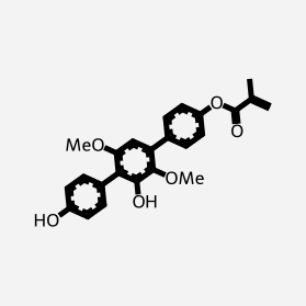 C=C(C)C(=O)Oc1ccc(-c2cc(OC)c(-c3ccc(O)cc3)c(O)c2OC)cc1